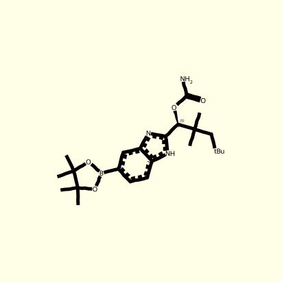 CC(C)(C)CC(C)(C)[C@H](OC(N)=O)c1nc2cc(B3OC(C)(C)C(C)(C)O3)ccc2[nH]1